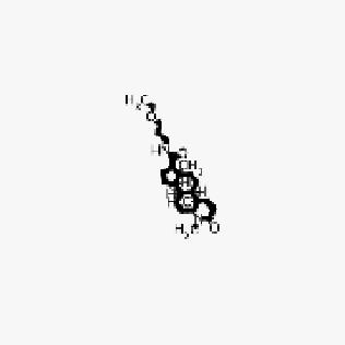 CCOCCCNC(=O)C1CC[C@H]2[C@@H]3CCC4N(C)C(=O)C=C[C@]4(C)[C@@H]3CC[C@]12C